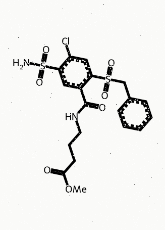 COC(=O)CCCNC(=O)c1cc(S(N)(=O)=O)c(Cl)cc1S(=O)(=O)Cc1ccccc1